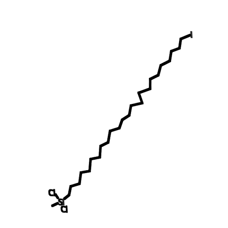 C[Si](Cl)(Cl)CCCCCCCCCCCCCCCCCCCCCCCCI